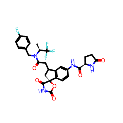 C[C@H](N(Cc1ccc(F)cc1)C(=O)CC1C[C@@]2(OC(=O)NC2=O)c2ccc(NC(=O)[C@H]3CCC(=O)N3)cc21)C(F)(F)F